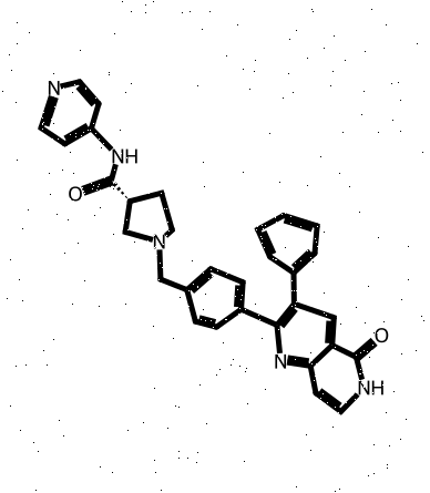 O=C(Nc1ccncc1)[C@@H]1CCN(Cc2ccc(-c3nc4cc[nH]c(=O)c4cc3-c3ccccc3)cc2)C1